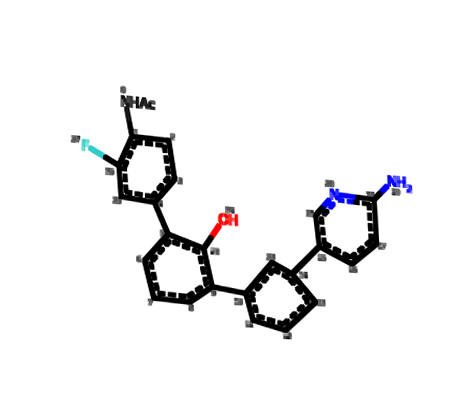 CC(=O)Nc1ccc(-c2cccc(-c3cccc(-c4ccc(N)nc4)c3)c2O)cc1F